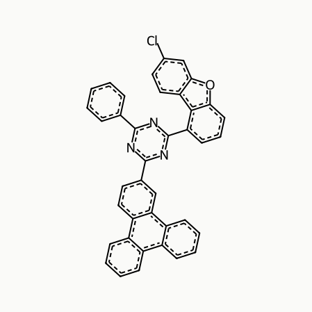 Clc1ccc2c(c1)oc1cccc(-c3nc(-c4ccccc4)nc(-c4ccc5c6ccccc6c6ccccc6c5c4)n3)c12